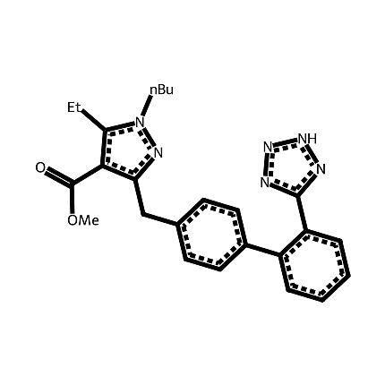 CCCCn1nc(Cc2ccc(-c3ccccc3-c3nn[nH]n3)cc2)c(C(=O)OC)c1CC